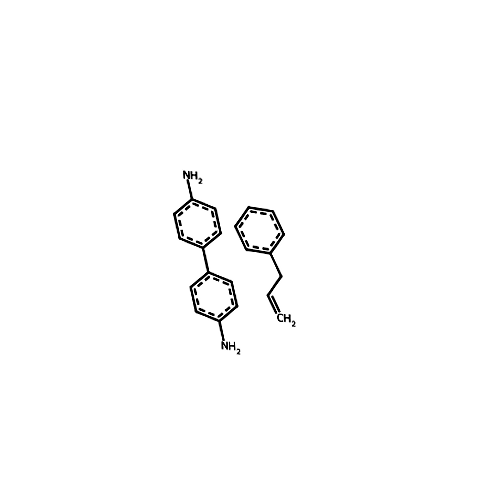 C=CCc1ccccc1.Nc1ccc(-c2ccc(N)cc2)cc1